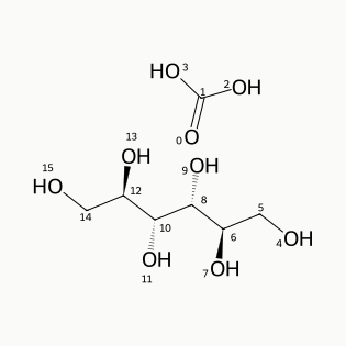 O=C(O)O.OC[C@@H](O)[C@@H](O)[C@H](O)[C@H](O)CO